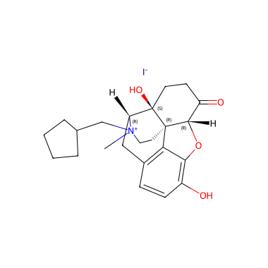 C[N+]1(CC2CCCC2)CC[C@@]23c4c5ccc(O)c4O[C@H]2C(=O)CC[C@@]3(O)[C@H]1C5.[I-]